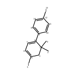 CC1(C)CC(I)=CC=C1c1ccc(I)cc1